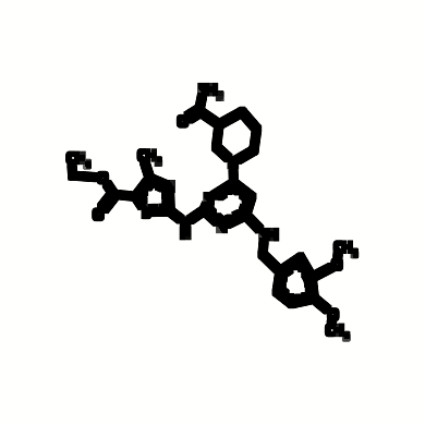 CCOC(=O)c1sc(Nc2nc(NCc3ccc(OC)c(OC)c3)cc(N3CCCC(C(N)=O)C3)n2)nc1C